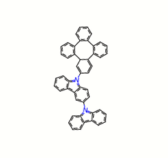 C1=CC(n2c3ccccc3c3cc(-n4c5ccccc5c5ccccc54)ccc32)=CC2C=1c1ccccc1-c1ccccc1-c1ccccc12